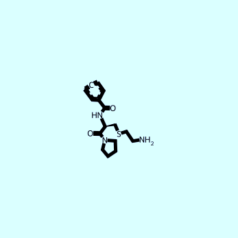 NCCSC[C@H](NC(=O)c1ccccc1)C(=O)N1CCCC1